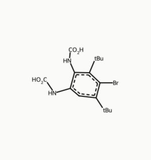 CC(C)(C)c1cc(NC(=O)O)c(NC(=O)O)c(C(C)(C)C)c1Br